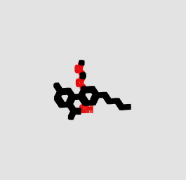 C=C(C)c1ccc(C)cc1-c1c(O)cc(CCCCC)cc1OCOC